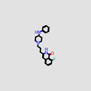 O=c1[nH]c(CCCN2CCC(Nc3ccccc3)CC2)cc2cccc(F)c12